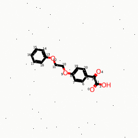 O=C(O)C(=O)c1ccc(OCCOc2ccccc2)cc1